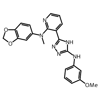 COc1cccc(Nc2nnc(-c3cccnc3N(C)c3ccc4c(c3)OCO4)[nH]2)c1